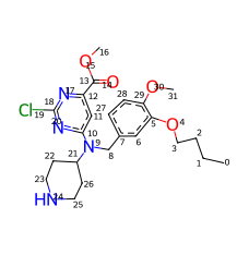 CCCCOc1cc(CN(c2cc(C(=O)OC)nc(Cl)n2)C2CCNCC2)ccc1OC